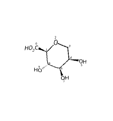 O=C(O)[C@H]1OC[C@@H](O)[C@@H](O)[C@@H]1O